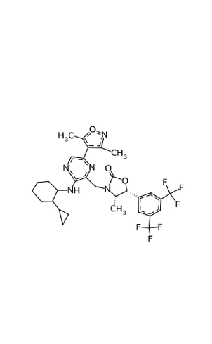 Cc1noc(C)c1-c1cnc(NC2CCCCC2C2CC2)c(CN2C(=O)O[C@H](c3cc(C(F)(F)F)cc(C(F)(F)F)c3)[C@@H]2C)n1